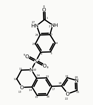 O=c1[nH]c2ccc(S(=O)(=O)N3CCOc4ccc(-c5cnco5)cc43)cc2[nH]1